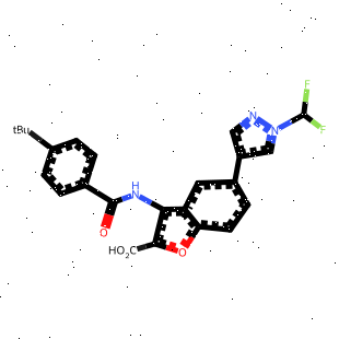 CC(C)(C)c1ccc(C(=O)Nc2c(C(=O)O)oc3ccc(-c4cnn(C(F)F)c4)cc23)cc1